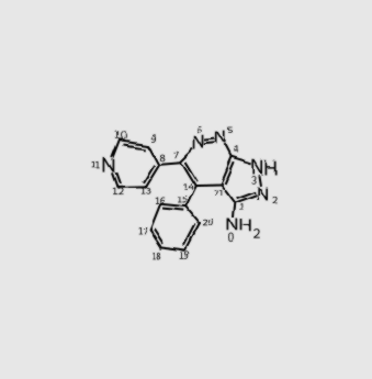 Nc1n[nH]c2nnc(-c3ccncc3)c(-c3ccccc3)c12